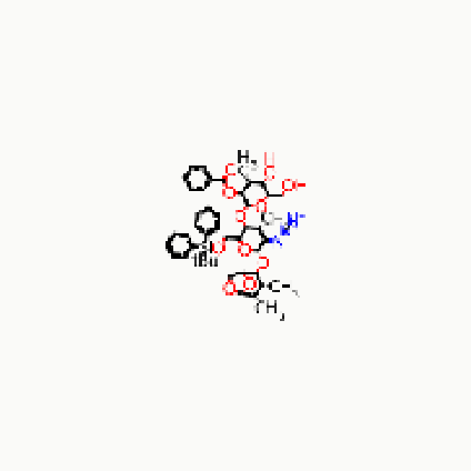 C[C@@H]1C(OC(=O)c2ccccc2)[C@H](O[C@@H]2C(CO[Si](c3ccccc3)(c3ccccc3)C(C)(C)C)O[C@@H](OC3C4COC(O4)[C@@H](C)[C@H]3C)C(N=[N+]=[N-])[C@H]2C)OC(CO)[C@H]1O